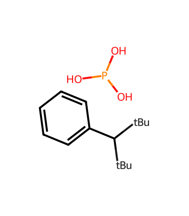 CC(C)(C)C(c1ccccc1)C(C)(C)C.OP(O)O